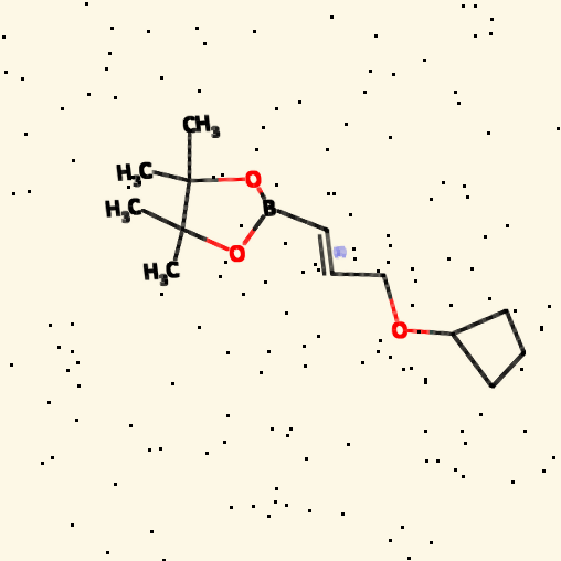 CC1(C)OB(/C=C/COC2CCC2)OC1(C)C